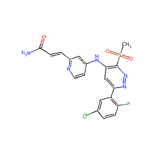 CS(=O)(=O)c1nnc(-c2cc(Cl)ccc2F)cc1Nc1ccnc(C=CC(N)=O)c1